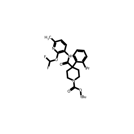 Cc1ccc(NC(=O)C2(c3ccccc3C(C)C)CCN(C(=O)OC(C)(C)C)CC2)c(OC(F)F)n1